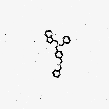 c1ccc(CNCc2ccc(CN(Cc3ccccn3)CC3CCc4cccnc43)cc2)nc1